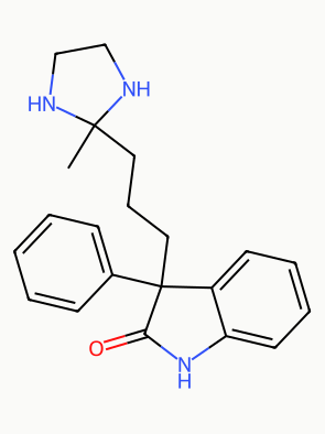 CC1(CCCC2(c3ccccc3)C(=O)Nc3ccccc32)NCCN1